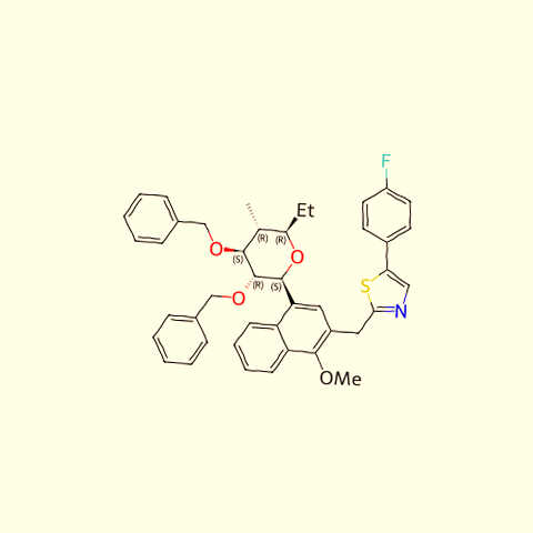 CC[C@H]1O[C@@H](c2cc(Cc3ncc(-c4ccc(F)cc4)s3)c(OC)c3ccccc23)[C@H](OCc2ccccc2)[C@@H](OCc2ccccc2)[C@@H]1C